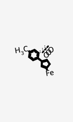 Cc1ccc(C2=CC[C]([Fe])=C2)cc1.[C]=O.[C]=O.[C]=O